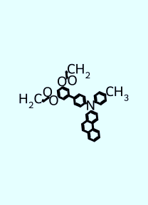 C=CC(=O)Oc1cc(OC(=O)C=C)cc(-c2ccc(N(c3ccc(C)cc3)c3ccc4c(ccc5ccccc54)c3)cc2)c1